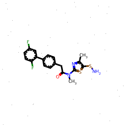 Cc1nc(N(C)C(=O)Cc2ccc(-c3cc(F)ccc3F)cc2)sc1SN